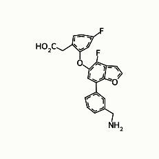 NCc1cccc(-c2cc(Oc3cc(F)ccc3CC(=O)O)c(F)c3ccoc23)c1